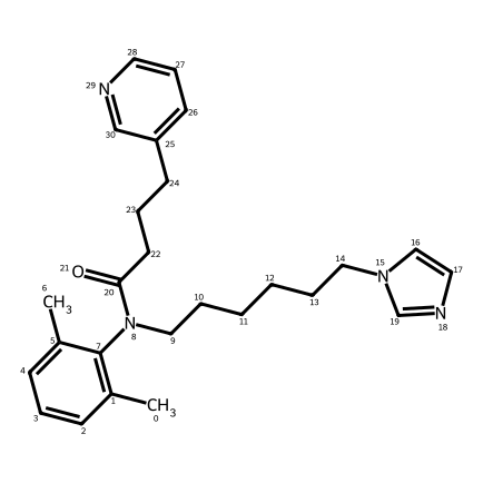 Cc1cccc(C)c1N(CCCCCCn1ccnc1)C(=O)CCCc1cccnc1